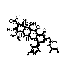 C/C=C(\C)CN(C)Cc1cc(-c2cnn(C)c2)c2c(c1O)C(=O)C1=C(O)[C@]3(O)C(=O)C(C(N)=O)=C(O)[C@@H](N(C)C)[C@@H]3C[C@@H]1C2